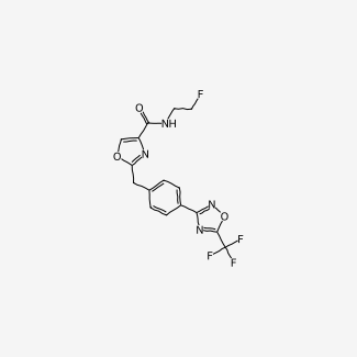 O=C(NCCF)c1coc(Cc2ccc(-c3noc(C(F)(F)F)n3)cc2)n1